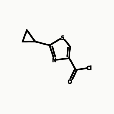 O=C(Cl)c1csc(C2CC2)n1